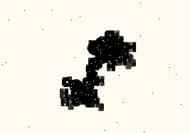 Cc1sc2c(c1C)C(c1ccc(Cl)cc1)=N[C@@H](CC(=O)N[C@H]1C[C@@H](Oc3ccc(OCC(=O)N[C@H](C(=O)N4C[C@H](O)C[C@H]4C(=O)N[C@@H](C)c4ccc(-c5nccn5C)cc4)C(C)(C)C)cn3)C1)c1nnc(C)n1-2